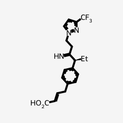 CC[C@H](C(=N)CCn1ccc(C(F)(F)F)n1)c1ccc(C/C=C/C(=O)O)cc1